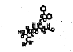 O=CNc1nc(C(=NOCC(=O)OC(c2ccccc2)c2ccccc2)C(=O)NC2C(=O)N3C(C(=O)O)C(C=C(Br)Br)=CS[C@@H]23)cs1